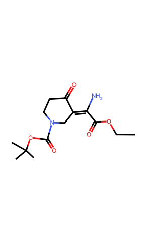 CCOC(=O)/C(N)=C1\CN(C(=O)OC(C)(C)C)CCC1=O